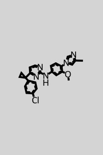 COc1cc(Nc2nccc(C3(c4ccc(Cl)cc4)CC3)n2)ccc1-n1cnc(C)c1